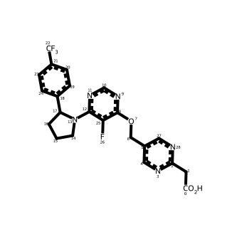 O=C(O)Cc1ncc(COc2ncnc(N3CCCC3c3ccc(C(F)(F)F)cc3)c2F)cn1